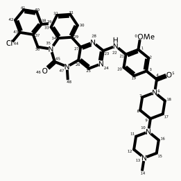 COc1cc(C(=O)N2CCC(N3CCN(C)CC3)CC2)ccc1Nc1ncc2c(n1)-c1ccccc1N(Cc1c(C)cccc1Cl)C(=O)N2C